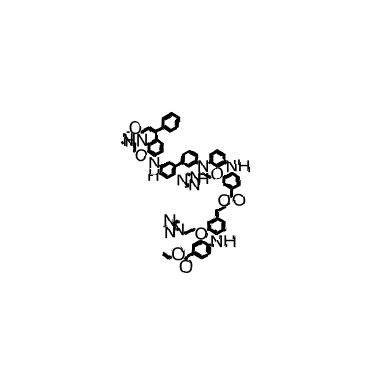 CCOC(=O)c1ccc(Nc2ccc(CCOC(=O)c3ccc(Nc4cccc(Nc5cccc(-c6cccc(Nc7ccc8c(-c9ccccc9)cc(=O)[nH]c8c7OCCN(C)C)c6)c5)c4OCCn4cncn4)cc3)cc2OCCn2cncn2)cc1